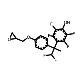 CC(c1ccc(OCC2CO2)cc1)(c1c(F)c(F)c(O)c(F)c1F)C(F)F